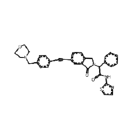 O=C(Nc1nccs1)C(c1ccccc1)N1Cc2ccc(C#Cc3ccc(CN4CCOCC4)cc3)cc2C1=O